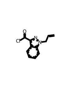 C=CCn1nc(C(=O)Cl)c2ccccc21